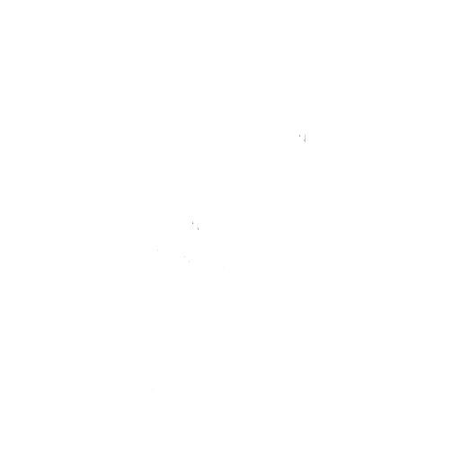 O=S(=O)(c1ccc(F)cc1)N1CCC(c2c[nH]c3ccccc23)C1